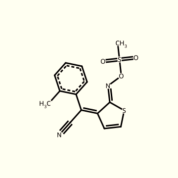 Cc1ccccc1/C(C#N)=C1/C=CSC1=NOS(C)(=O)=O